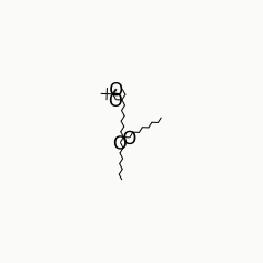 CCCCCCCOC(CCCCCCC(CC)OC(=O)C(C)(C)C)OCCCCCCC